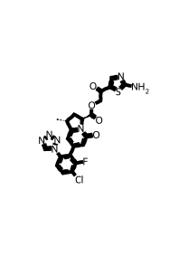 C[C@@H]1C[C@@H](C(=O)OCC(=O)c2cnc(N)s2)n2c1cc(-c1c(-n3cnnn3)ccc(Cl)c1F)cc2=O